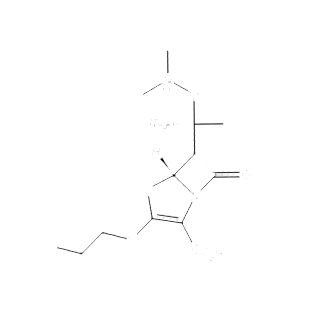 C[SiH](C)O[C@@](C)([C@@H]1C(=O)N2C(C(=O)O)=C(SCCF)S[C@H]12)C(C)(C)C